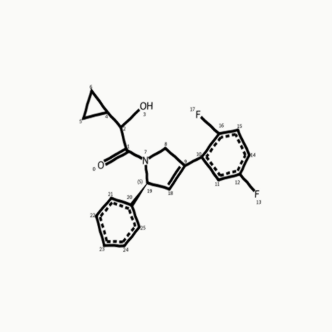 O=C(C(O)C1CC1)N1CC(c2cc(F)ccc2F)=C[C@H]1c1ccccc1